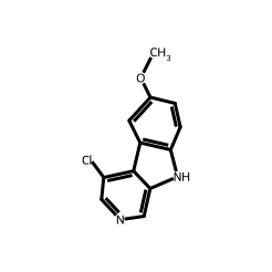 COc1ccc2[nH]c3cncc(Cl)c3c2c1